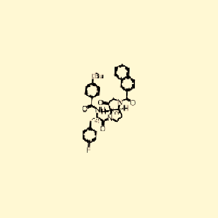 CC(C)(C)c1ccc(C(=O)N[C@@H](Cc2ccc(F)cc2)C(=O)N2CC[C@@H]3[C@H]2C(=O)CN3C(=O)c2ccc3ccccc3c2)cc1